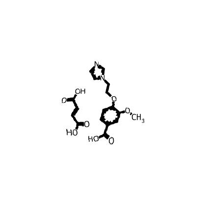 COc1cc(C(=O)O)ccc1OCCn1ccnc1.O=C(O)/C=C/C(=O)O